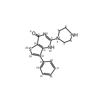 O=c1nc(N2CCNCC2)[nH]c2c(-c3ccccc3)csc12